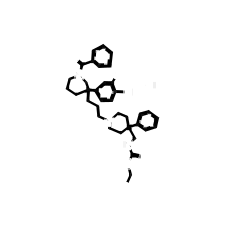 CCOC(=O)NCC1(c2ccccc2)CCN(CCCC2(c3ccc(Cl)c(Cl)c3)CCCN(C(=O)c3ccccc3)C2)CC1.Cl